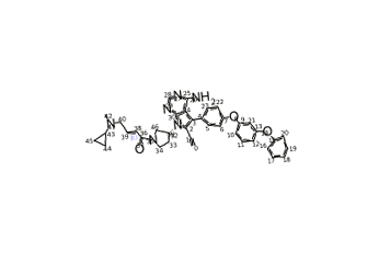 C#Cc1c(-c2ccc(Oc3cccc(Oc4ccccc4)c3)cc2)c2c(N)ncnc2n1[C@@H]1CCN(C(=O)/C=C/CN(C)C2CC2)C1